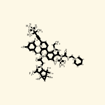 CC(C)(C#Cc1ccc(-c2ccc(Cl)c3c(N(C(=O)OC[n+]4ccccc4)S(C)(=O)=O)nn(CC(F)(F)F)c23)c([C@H](Cc2cc(F)cc(F)c2)NC(=O)Cn2nc(C(F)(F)F)c3c2C(F)(F)[C@@H]2C[C@H]32)n1)S(C)(=O)=O